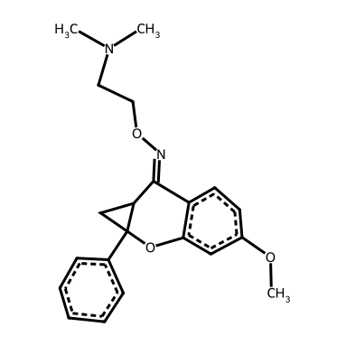 COc1ccc2c(c1)OC1(c3ccccc3)CC1C2=NOCCN(C)C